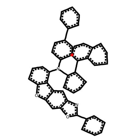 c1ccc(-c2ccc(N(c3ccccc3-c3cccc4ccccc34)c3cccc4oc5cc6oc(-c7ccccc7)nc6cc5c34)cc2)cc1